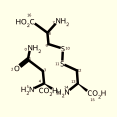 NC(=O)C[C@H](N)C(=O)O.NC(CSSC[C@H](N)C(=O)O)C(=O)O